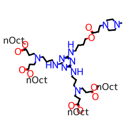 CCCCCCCCOC(=O)CCN(CCCNc1nc(NCCCCOC(=O)CCN2CCN(C)CC2)nc(NCCCN(CCC(=O)OCCCCCCCC)CCC(=O)OCCCCCCCC)n1)CCC(=O)OCCCCCCCC